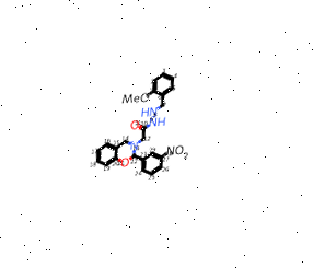 COc1ccccc1CNNC(=O)CN1Cc2ccccc2OC1c1cccc([N+](=O)[O-])c1